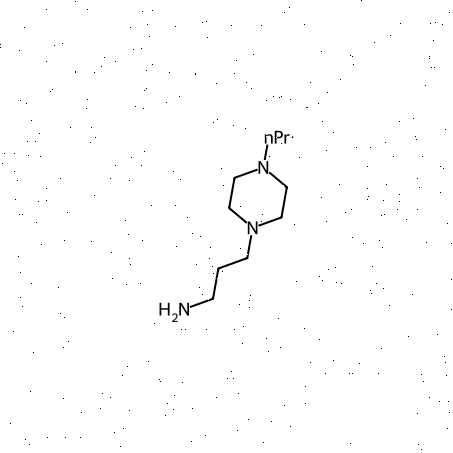 CC[CH]N1CCN(CCCN)CC1